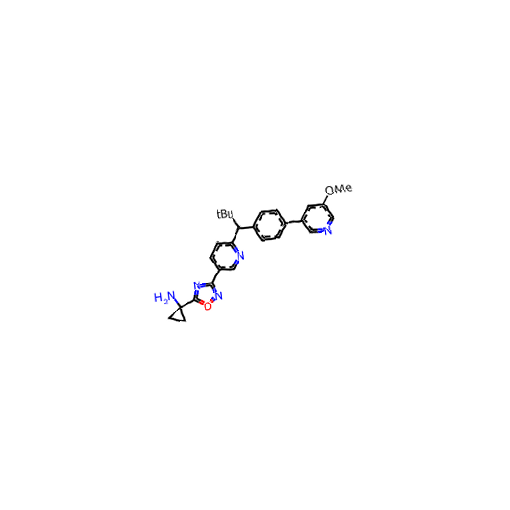 COc1cncc(-c2ccc(C(c3ccc(-c4noc(C5(N)CC5)n4)cn3)C(C)(C)C)cc2)c1